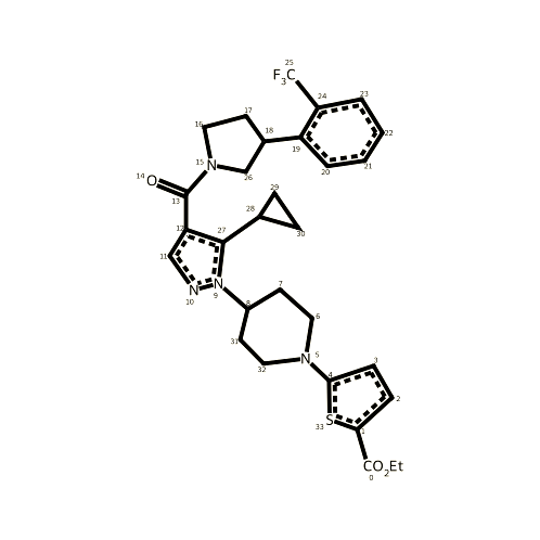 CCOC(=O)c1ccc(N2CCC(n3ncc(C(=O)N4CCC(c5ccccc5C(F)(F)F)C4)c3C3CC3)CC2)s1